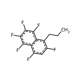 [CH2]CCc1c(F)cc(F)c2c(F)c(F)c(F)c(F)c12